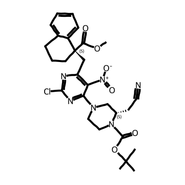 COC(=O)[C@]1(Cc2nc(Cl)nc(N3CCN(C(=O)OC(C)(C)C)[C@@H](CC#N)C3)c2[N+](=O)[O-])CCCc2ccccc21